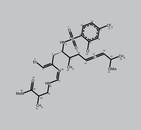 CC/C=C(C[C@H](NS(=O)(=O)c1ccc(C(F)(F)F)cc1Cl)C(C)CC=C=CC(C)OC)/N=C\NCC(C)C(=O)NC